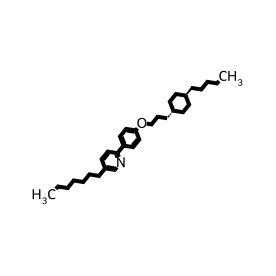 CCCCCCCc1ccc(-c2ccc(OCCC[C@H]3CC[C@H](CCCCC)CC3)cc2)nc1